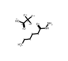 CCCCCC(=O)NN.O=C(O)C(F)(F)F